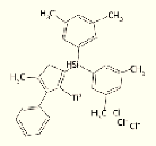 CC1=C(c2ccccc2)[C]([Ti+3])=C([SiH](c2cc(C)cc(C)c2)c2cc(C)cc(C)c2)C1.[Cl-].[Cl-].[Cl-]